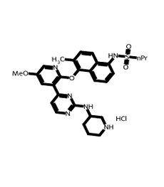 CCCS(=O)(=O)Nc1cccc2c(Oc3ncc(OC)cc3-c3ccnc(NC4CCCNC4)n3)c(C)ccc12.Cl